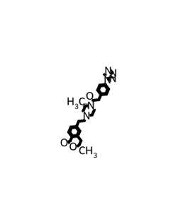 CC1Cc2cc(CCN3CCN(C(=O)Cc4ccc(-n5cnnn5)cc4)[C@H](C)C3)ccc2C(=O)O1